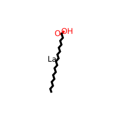 CCCCCCCCCCCCCCCCCC(=O)O.[La]